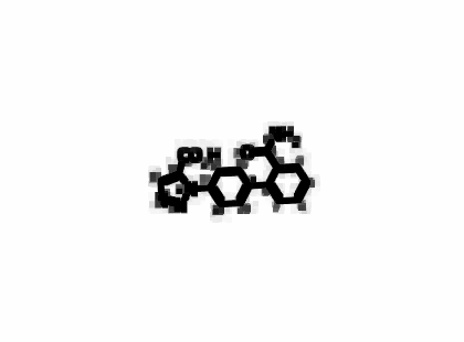 NC(=O)c1ccccc1-c1ccc(-n2nncc2C(=O)O)cc1